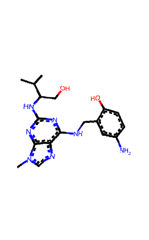 CC(C)C(CO)Nc1nc(NCc2cc(N)ccc2O)c2ncn(C)c2n1